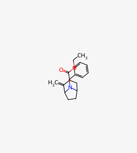 C=C1C(C(=O)OCC)CC2CCC1N2Cc1ccccc1